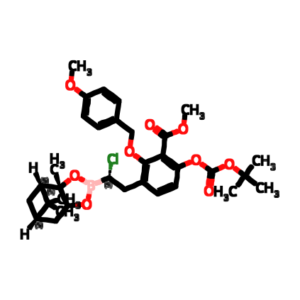 COC(=O)c1c(OC(=O)OC(C)(C)C)ccc(C[C@@H](Cl)B2OC3C[C@@H]4C[C@@H](C4(C)C)[C@]3(C)O2)c1OCc1ccc(OC)cc1